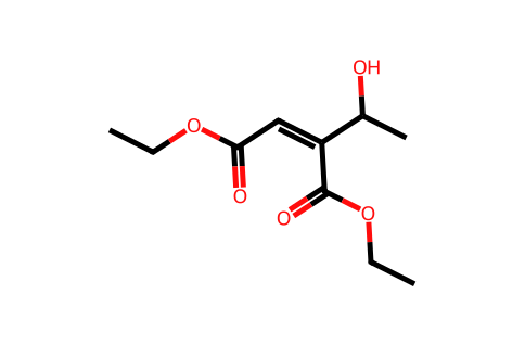 CCOC(=O)/C=C(\C(=O)OCC)C(C)O